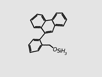 [SiH3]OCc1ccccc1-c1cc2ccccc2c2ccccc12